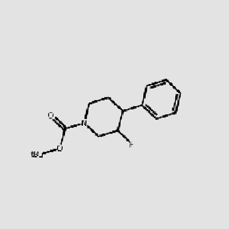 CC(C)(C)OC(=O)N1CCC(c2ccccc2)C(F)C1